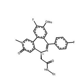 CCNC(=O)C[C@@H]1N=C(c2ccc(F)cc2)c2cc(OC)c(F)cc2-c2cn(C)c(=O)cc21